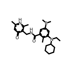 CCN(c1cc(B(C)C)cc(C(=O)NCc2c(C)[nH]c(C)cc2=O)c1C)C1CCCCC1